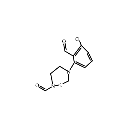 O=Cc1c(Cl)cccc1N1CCN(C=O)CC1